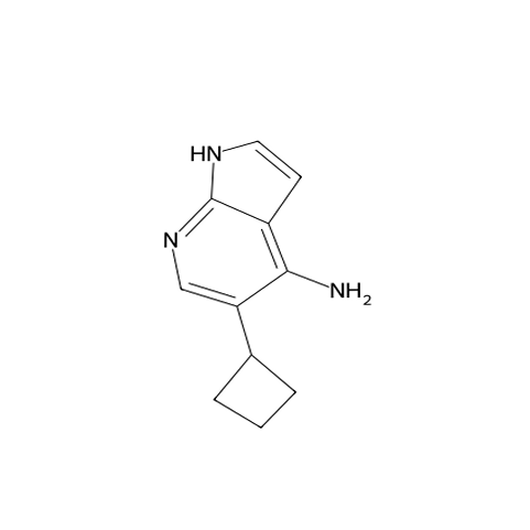 Nc1c(C2CCC2)cnc2[nH]ccc12